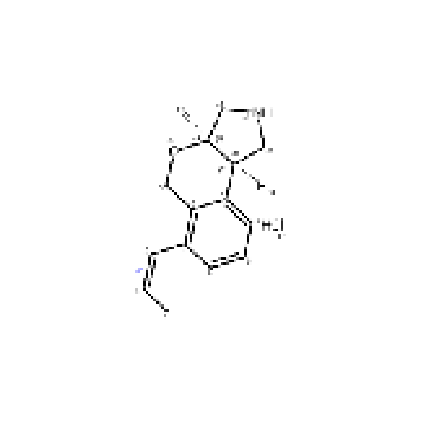 C/C=C\c1cccc2c1CO[C@@]1(C)CNC[C@@H]21.Cl